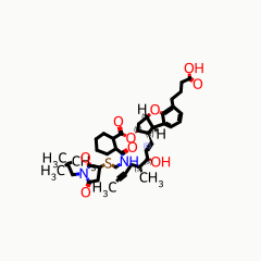 CC#CC[C@H](C)[C@H](O)/C=C/[C@@H]1[C@H]2c3cccc(CCCC(=O)O)c3O[C@H]2C[C@H]1OC(=O)C1CCCCC1C(=O)NCSC1CC(=O)N(CC(C)(C)C)C1=O